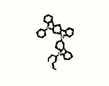 C\C=C/C=C(\C=C/C)n1c2ccccc2c2cc(-n3c4ccccc4c4cc5c6ccccc6p(-c6ccccc6)c5cc43)ccc21